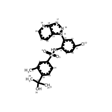 Cc1cc(S(=O)(=O)Nc2ccc(Cl)cc2-n2nnc3ncccc32)ccc1C(C)(C)O